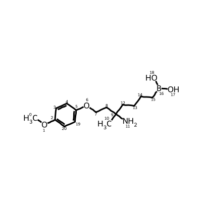 COc1ccc(OCCC(C)(N)CCCCB(O)O)cc1